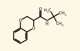 CC(C)(C)NC(=O)C1COc2ccccc2O1